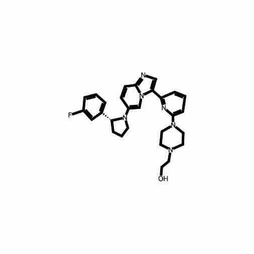 OCCN1CCN(c2cccc(-c3cnc4ccc(N5CCC[C@@H]5c5cccc(F)c5)cn34)n2)CC1